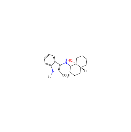 CCn1c(C(=O)O)c(NC2CCC[C@H]3CCCC[C@]23O)c2ccccc21